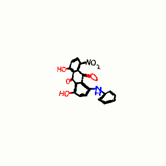 O=C1c2c(O)ccc(Nc3ccccc3)c2C(=O)c2c([N+](=O)[O-])ccc(O)c21